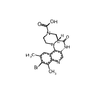 Cc1cc2c3c(cnc2c(C)c1Br)NC(=O)[C@H]1CN(C(=O)O)CCN31